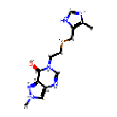 Cc1nc[nH]c1CSCCn1cnc2cn(C)nc2c1=O